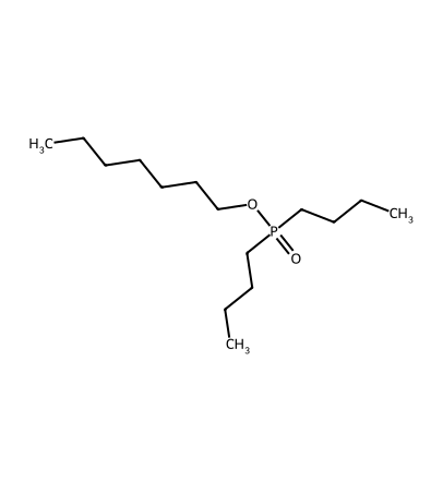 CCCCCCCOP(=O)(CCCC)CCCC